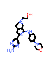 Nc1ncc(-c2cc3c(c(Nc4ccc(N5CCOCC5)cc4)n2)CN(CCO)C=C3)cn1